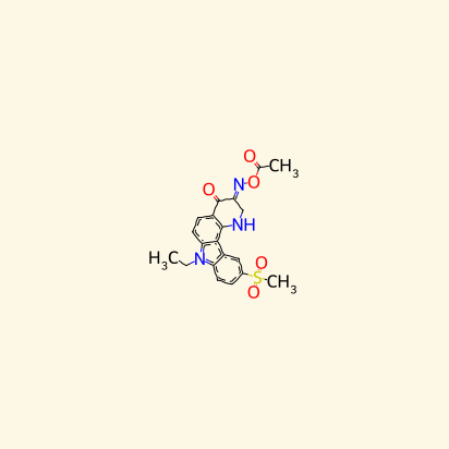 CCn1c2ccc(S(C)(=O)=O)cc2c2c3c(ccc21)C(=O)C(=NOC(C)=O)CN3